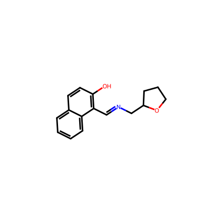 Oc1ccc2ccccc2c1C=NCC1CCCO1